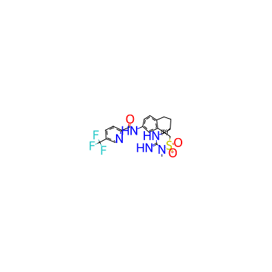 CN1C(=N)N[C@@]2(CCCc3ccc(NC(=O)c4ccc(C(F)(F)F)cn4)cc32)CS1(=O)=O